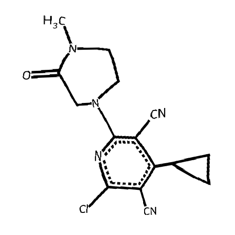 CN1CCN(c2nc(Cl)c(C#N)c(C3CC3)c2C#N)CC1=O